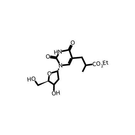 CCOC(=O)C(C)Cc1cn([C@@H]2CC(O)[C@@H](CO)O2)c(=O)[nH]c1=O